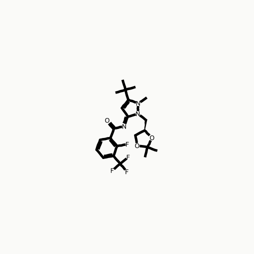 Cn1c(C(C)(C)C)cc(=NC(=O)c2cccc(C(F)(F)F)c2F)n1C[C@@H]1COC(C)(C)O1